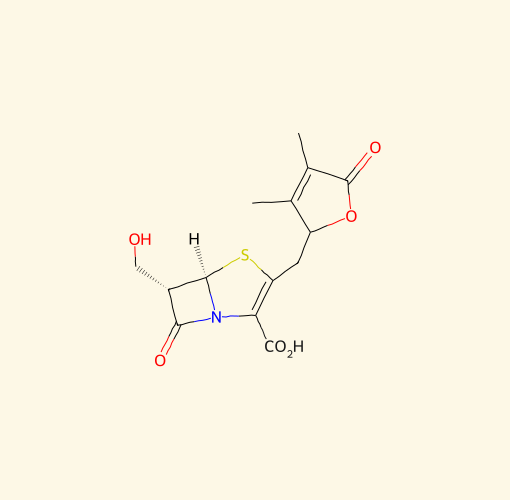 CC1=C(C)C(CC2=C(C(=O)O)N3C(=O)[C@H](CO)[C@H]3S2)OC1=O